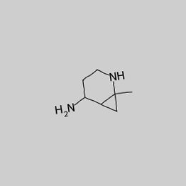 CC12CC1C(N)CCN2